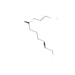 C=C(CC=CC)CCCC=CCO